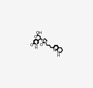 O=C(O)CC(c1ccc(=O)[nH]c1)N1CCN(CCCc2ccc3c(n2)NCCC3)C1=O